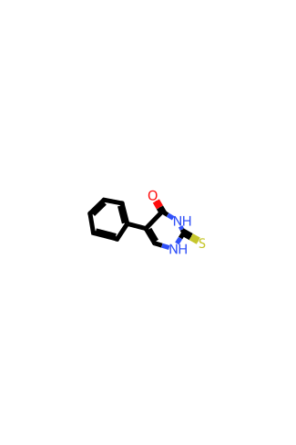 O=c1[nH]c(=S)[nH]cc1-c1ccccc1